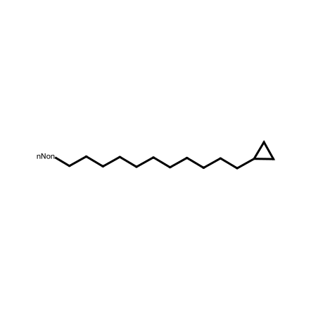 CCCCCCCCCCCCCCCCCCCCC1CC1